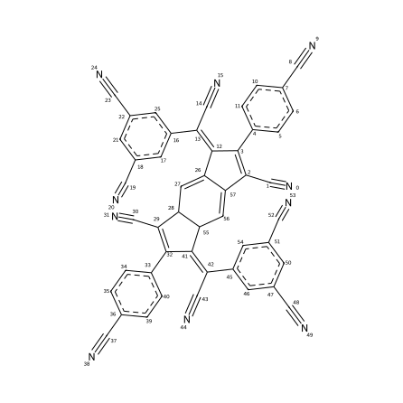 N#CC1=C(c2ccc(C#N)cc2)/C(=C(\C#N)c2cc(C#N)cc(C#N)c2)C2=CC3C(C#N)=C(c4ccc(C#N)cc4)/C(=C(\C#N)c4cc(C#N)cc(C#N)c4)C3C=C21